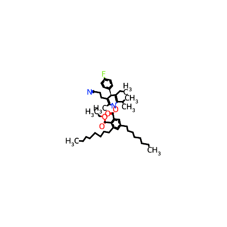 CCCCCCCCc1cc(CCCCCCCC)c(C(=O)OCC)c(C(=O)ON2C(C)=C(CCC#N)[C@@H](c3ccc(F)cc3)C(CC)=C2C(C)C)c1